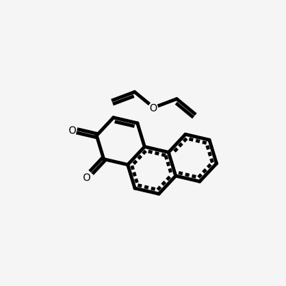 C=COC=C.O=C1C=Cc2c(ccc3ccccc23)C1=O